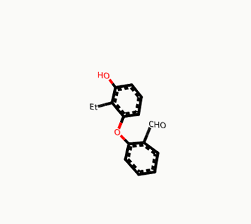 CCc1c(O)cccc1Oc1ccccc1C=O